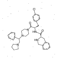 O=C(N[C@H](Cc1ccc(Cl)cc1)C(=O)N1CCN(C(CN2CCCC2)c2ccccc2)CC1)[C@H]1Cc2ccccc2CN1